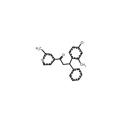 Cc1cc(C(=O)CC(c2ccccc2)c2ccc(Cl)cc2C)ccn1